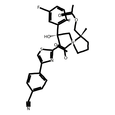 CC(=O)OC[C@]1(C)CCC[N+]1(C[C@](O)(c1cc(F)ccc1F)[C@@H](C)c1nc(-c2ccc(C#N)cc2)cs1)C([O])=O